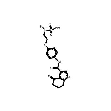 CCCS(=O)(=O)N(CC)CCOc1ccc(NC(=O)c2c[nH]c3c2C(=O)CCC3)cc1